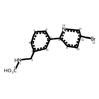 O=C(O)NCc1cccc(-c2ccc(Br)cn2)c1